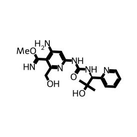 COC(=N)c1c(N)cc(NC(=O)N[C@@H](c2ccccn2)C(C)(C)O)nc1CO